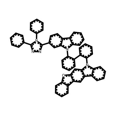 c1ccc(-c2nnc(-c3ccc4c5ccccc5n(-c5ccccc5-c5ccccc5-n5c6ccccc6c6cc7c(cc65)oc5ccccc57)c4c3)n2-c2ccccc2)cc1